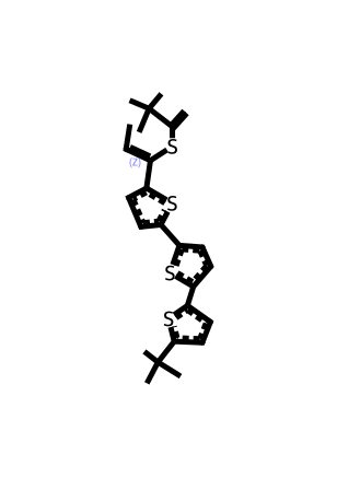 C=C(S/C(=C\C)c1ccc(-c2ccc(-c3ccc(C(C)(C)C)s3)s2)s1)C(C)(C)C